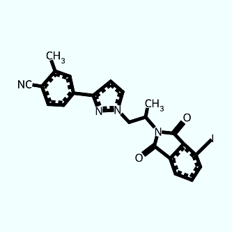 Cc1cc(-c2ccn(CC(C)N3C(=O)c4cccc(I)c4C3=O)n2)ccc1C#N